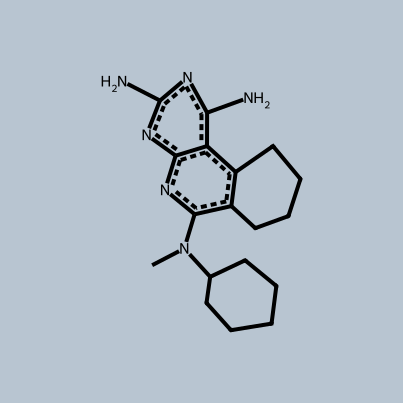 CN(c1nc2nc(N)nc(N)c2c2c1CCCC2)C1CCCCC1